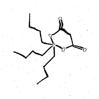 CCCCP1(CCCC)(CCCC)OC(=O)CC(=O)O1